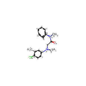 Cc1cc(N(C)CC(=O)N(C)c2ccccc2)ccc1Cl